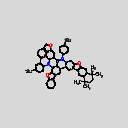 CC(C)(C)c1ccc(N2B3c4cc5occc5cc4N(c4ccc(C(C)(C)C)cc4-c4ccccc4)c4c3c(cc3c4oc4ccccc43)-c3cc4c(cc32)oc2cc3c(cc24)C(C)(C)CCC3(C)C)cc1